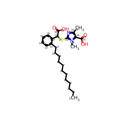 CCCCCCCCCCCCc1ccccc1C(Sc1nc(C)c(C(=O)O)n1C)C(=O)O